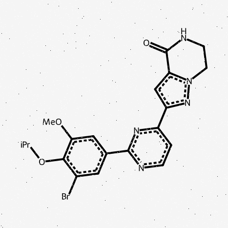 COc1cc(-c2nccc(-c3cc4n(n3)CCNC4=O)n2)cc(Br)c1OC(C)C